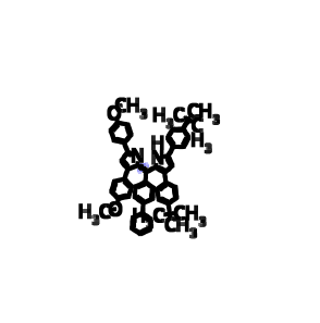 COc1ccc(C2=CC(c3ccc(OC)cc3)=N/C2=C(/c2ccc(-c3ccccc3)cc2)c2[nH]c(-c3ccc(C(C)(C)C)cc3)cc2-c2ccc(C(C)(C)C)cc2)cc1